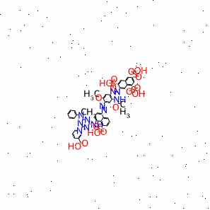 COc1cc(N=Nc2cc3c(S(=O)(=O)O)cc(S(=O)(=O)O)cc3cc2S(=O)(=O)O)c(NC(C)=O)cc1N=Nc1ccc(Nc2nc(N(C)c3ccccc3)nc(-[n+]3cccc(C(=O)O)c3)n2)c2c(S(=O)(=O)O)cccc12